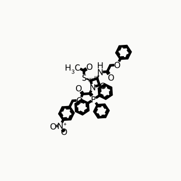 CC(=O)S[C@H]1[C@@H](NC(=O)COc2ccccc2)C(=O)N1C(C(=O)OCc1ccc([N+](=O)[O-])cc1)=P(c1ccccc1)(c1ccccc1)c1ccccc1